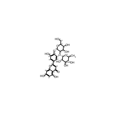 CC1O[C@@H](OC2C(O)[C@H](O)C(CO)O[C@H]2Oc2ccc(-c3cc(=O)c4c(O)cc(O)cc4o3)cc2O)[C@@H](O)C(O)[C@H]1O